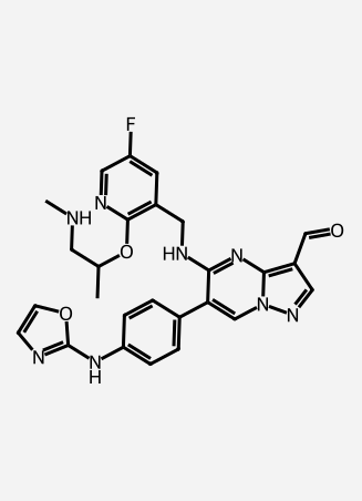 CNCC(C)Oc1ncc(F)cc1CNc1nc2c(C=O)cnn2cc1-c1ccc(Nc2ncco2)cc1